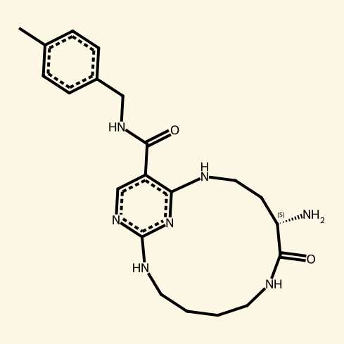 Cc1ccc(CNC(=O)c2cnc3nc2NCC[C@H](N)C(=O)NCCCCN3)cc1